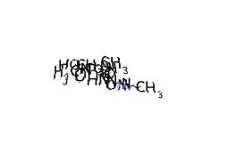 CCC/C=N/N=C/C1=CC=CC(NC(=O)c2cc3c(cc2OC)CCN(C(=O)C(C)(C)O)C3)N1